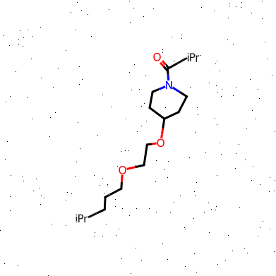 CC(C)CCCOCCOC1CCN(C(=O)C(C)C)CC1